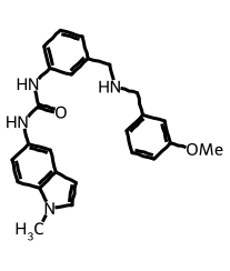 COc1cccc(CNCc2cccc(NC(=O)Nc3ccc4c(ccn4C)c3)c2)c1